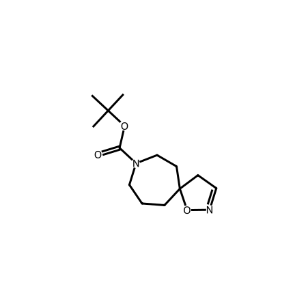 CC(C)(C)OC(=O)N1CCCC2(CC=NO2)CC1